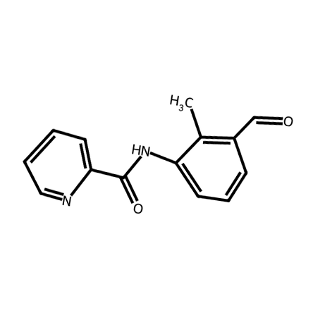 Cc1c(C=O)cccc1NC(=O)c1ccccn1